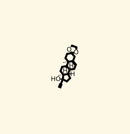 C#C[C@@]1(O)CC[C@H]2[C@@H]3CC=C4CC5(CC[C@]4(C)[C@H]3CC[C@@]21C)OCCO5